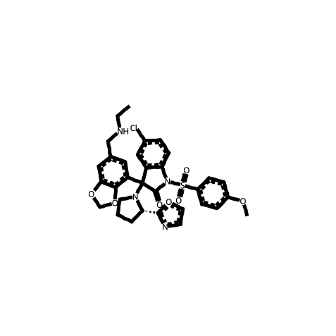 CCNCc1cc2c(c(C3(N4CCC[C@H]4c4ncco4)C(=O)N(S(=O)(=O)c4ccc(OC)cc4)c4ccc(Cl)cc43)c1)OCO2